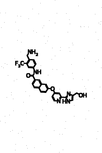 NCc1ccc(NC(=O)c2ccc3ccc(Oc4ccnc(-c5nc(CO)c[nH]5)c4)cc3c2)cc1C(F)(F)F